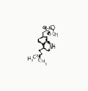 CN(C)CCc1c[nH]c2cc(CS(=O)(=O)N3CCCC3O)ccc12